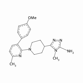 COc1ccc(-c2ccc(C)nc2N2CCC(c3nnc(N)n3C)CC2)cc1